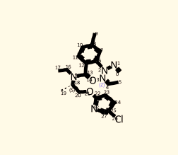 C=NN(/N=C\C)c1cc(C)ccc1C(=O)N(CC)[C@@H](C)COc1ccc(Cl)cn1